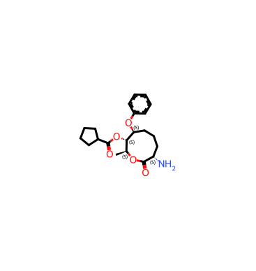 C[C@@H]1OC(=O)[C@@H](N)CCC[C@H](Oc2ccccc2)[C@H]1OC(=O)C1CCCC1